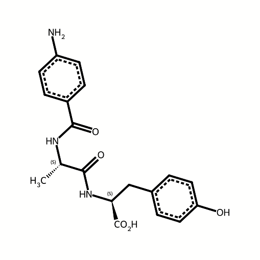 C[C@H](NC(=O)c1ccc(N)cc1)C(=O)N[C@@H](Cc1ccc(O)cc1)C(=O)O